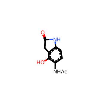 CC(=O)Nc1ccc2c(c1O)CC(=O)N2